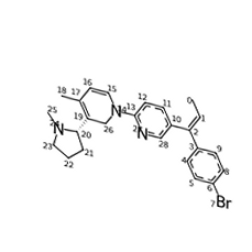 C/C=C(/c1ccc(Br)cc1)c1ccc(N2C=CC(C)=C([C@@H]3CCCN3C)C2)nc1